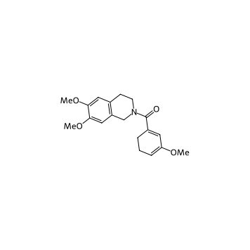 COC1=CCCC(C(=O)N2CCc3cc(OC)c(OC)cc3C2)=C1